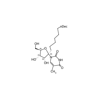 CCCCCCCCCCCCCCCC[C@@]1(n2cc(C)c(=O)[nH]c2=O)O[C@H](CO)[C@@H](O)[C@H]1O